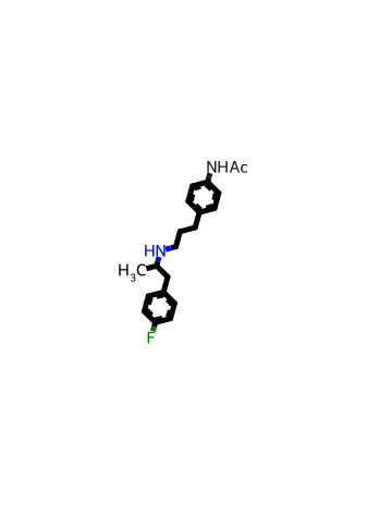 CC(=O)Nc1ccc(CCCNC(C)Cc2ccc(F)cc2)cc1